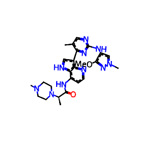 COc1nn(C)cc1Nc1ncc(C)c(-c2c[nH]c3c(NC(=O)[C@@H](C)N4CCN(C)CC4)ccnc23)n1